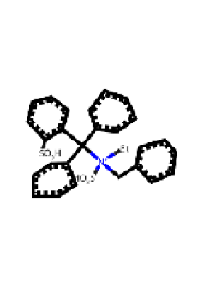 CC[N+](Cc1ccccc1)(C(c1ccccc1)(c1ccccc1)c1ccccc1S(=O)(=O)O)S(=O)(=O)O